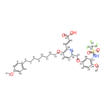 COc1ccc(CCCCCCCCOc2ccc(COc3ccc(OC)c(NS(=O)(=O)C(F)(F)F)c3)nc2C=CC(=O)O)cc1